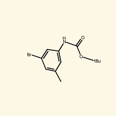 Cc1cc(Br)cc(NC(=O)OC(C)(C)C)c1